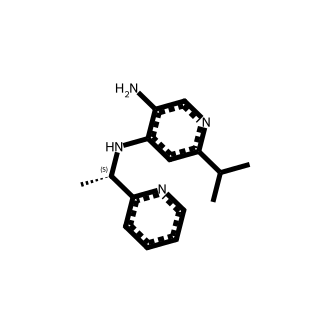 CC(C)c1cc(N[C@@H](C)c2ccccn2)c(N)cn1